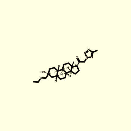 CCOC[C@@]1(O)CC[C@H]2[C@H](CC[C@@H]3[C@@H]2CC[C@]2(C)[C@@H](C(=O)Cn4nnc(C)n4)CC[C@@H]32)C1